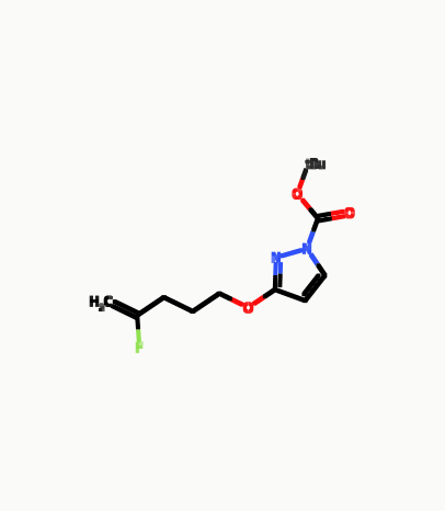 C=C(F)CCCOc1ccn(C(=O)OC(C)(C)C)n1